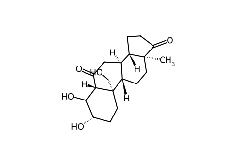 C[C@]12CC[C@H]3[C@@H](CC(=O)[C@H]4C(O)[C@@H](O)CC[C@@]43CO)[C@@H]1CCC2=O